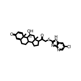 CC12C=CC(=O)C=C1CCC1C2[C@@H](O)CC2(C)C(C(=O)CSc3nc4ncc(Cl)cc4[nH]3)CCC12